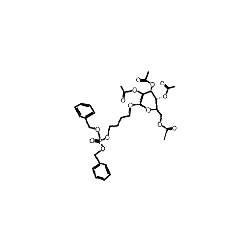 CC(=O)OCC1O[C@@H](OCCCCOP(=O)(OCc2ccccc2)OCc2ccccc2)C(OC(C)=O)[C@@H](OC(C)=O)[C@@H]1OC(C)=O